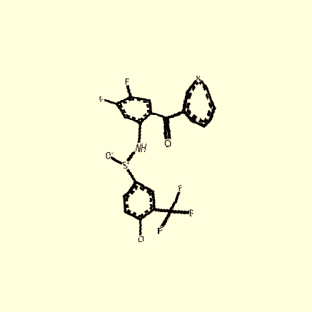 O=C(c1cccnc1)c1cc(F)c(F)cc1N[S+]([O-])c1ccc(Cl)c(C(F)(F)F)c1